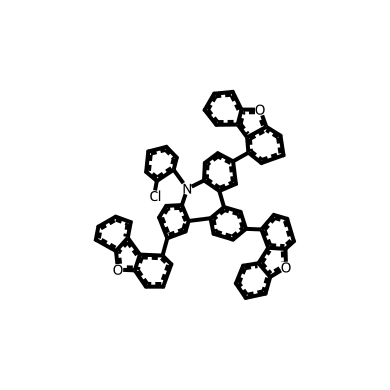 Clc1ccccc1N1c2ccc(-c3cccc4oc5ccccc5c34)cc2-c2ccc(-c3cccc4oc5ccccc5c34)cc2-c2cc(-c3cccc4oc5ccccc5c34)ccc21